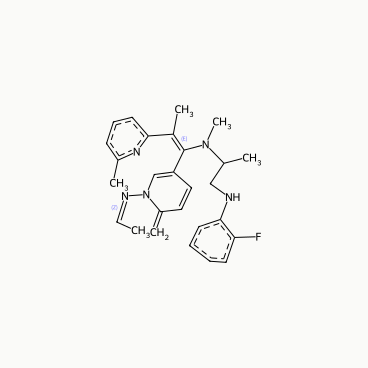 C=C1C=CC(/C(=C(/C)c2cccc(C)n2)N(C)C(C)CNc2ccccc2F)=CN1/N=C\C